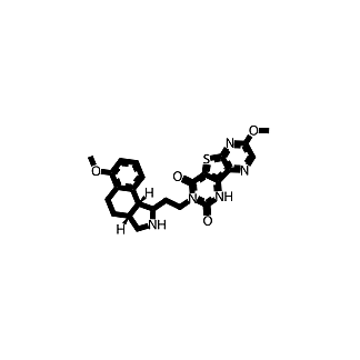 COc1cnc2c(n1)sc1c(=O)n(CCC3NC[C@@H]4CCc5c(OC)cccc5[C@H]34)c(=O)[nH]c12